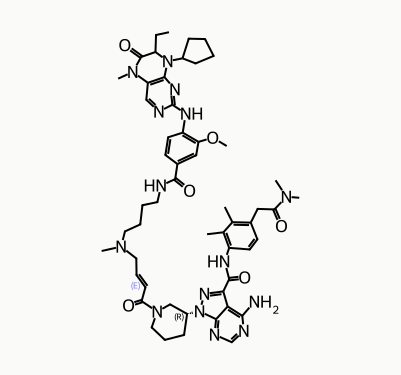 CCC1C(=O)N(C)c2cnc(Nc3ccc(C(=O)NCCCCN(C)C/C=C/C(=O)N4CCC[C@@H](n5nc(C(=O)Nc6ccc(CC(=O)N(C)C)c(C)c6C)c6c(N)ncnc65)C4)cc3OC)nc2N1C1CCCC1